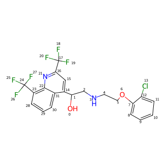 OC(CNCCOc1ccccc1Cl)c1cc(C(F)(F)F)nc2c(C(F)(F)F)cccc12